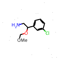 COCOC(CN)c1cccc(Cl)c1